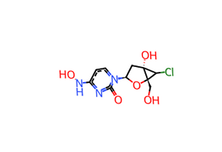 O=c1nc(NO)ccn1[C@H]1C[C@@]2(O)C(Cl)[C@]2(CO)O1